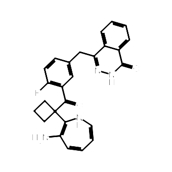 NC1=C(C2(C(=O)c3cc(Cc4n[nH]c(=O)c5ccccc45)ccc3F)CCC2)NC=CC=C1